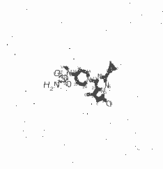 Cc1cc(Cl)n2nc(C3CC3)nc(N3CCC(N(C)S(N)(=O)=O)CC3)c12